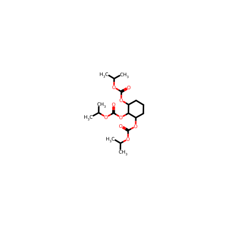 CC(C)OC(=O)OC1CCCC(OC(=O)OC(C)C)C1OC(=O)OC(C)C